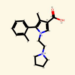 Cc1ccccc1-c1c(C)c(C(=O)O)cn1CCN1CCCC1